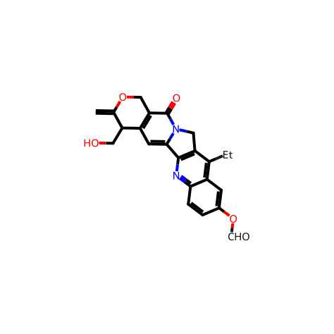 C=C1OCc2c(cc3n(c2=O)Cc2c-3nc3ccc(OC=O)cc3c2CC)C1CO